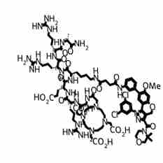 COc1cc2c(cc1-c1cccc(NC(=O)CCC(=O)NCCCC[C@@H](NC(=O)[C@@H](CCC(=O)O)NC(=O)[C@@H](CCCNC(=N)N)NC(=O)[C@@H](C)NC(=O)CN3CCN(CC(=O)O)CCN(CC(=O)O)CCN(CC(=O)O)CC3)C(=O)N[C@H](CCCNC(=N)N)C(=O)N[C@H](CCCNC(=N)N)C(=O)N[C@H](C)C(N)=O)c1)-c1c(c(C(=O)N3CCOCC3(C)C)nn1-c1cc(Cl)cc(Cl)c1)CO2